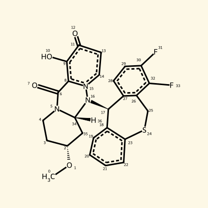 CO[C@@H]1CCN2C(=O)c3c(O)c(=O)ccn3N([C@@H]3c4ccccc4SCc4c3ccc(F)c4F)[C@@H]2C1